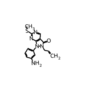 C=CCn1c(=O)c2cnc(SC)nc2n1-c1cccc(N)c1